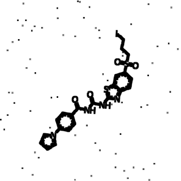 O=C(NC(=O)c1ccc(-n2cccc2)cc1)Nc1nc2ccc(S(=O)(=O)CCCI)cc2s1